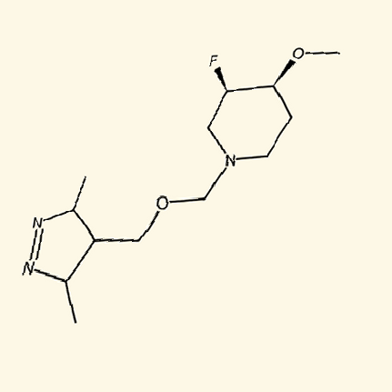 CO[C@H]1CCN(COCC2C(C)N=NC2C)C[C@H]1F